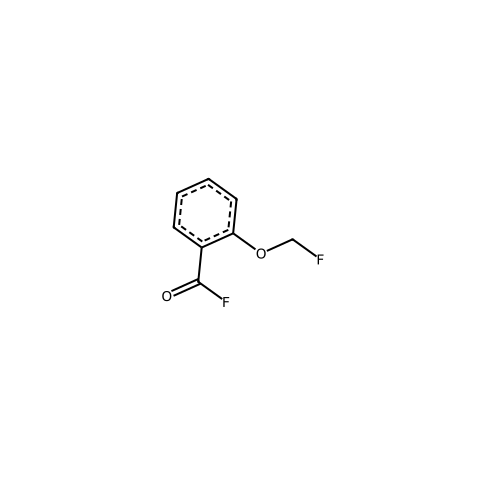 O=C(F)c1ccccc1OCF